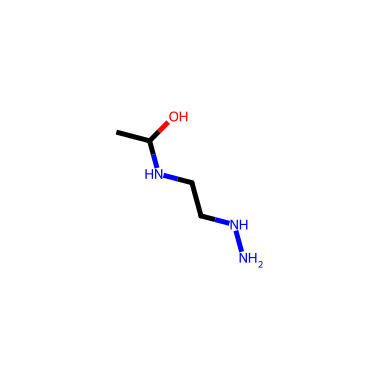 CC(O)NCCNN